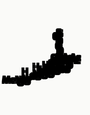 CNC(=O)CCNC(=O)CCc1ccc(NC(=O)COCC(=O)NCC(NC(=O)CCSC2CC(=O)N(CCC(=O)NCCOCCOCCOCCOCCC(=O)C3SS3)C2=O)C(=O)NCCOCCOCCOCCOCCC(=O)C(C(C)=O)(C(C)=O)C(C)=O)cc1